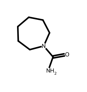 NC(=O)N1CCCCCC1